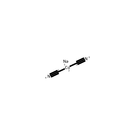 N#[C][Co][C]#N.[Na]